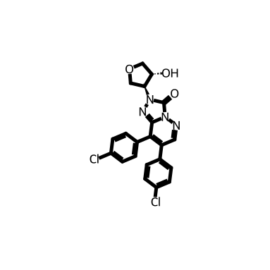 O=c1n([C@H]2COC[C@@H]2O)nc2c(-c3ccc(Cl)cc3)c(-c3ccc(Cl)cc3)cnn12